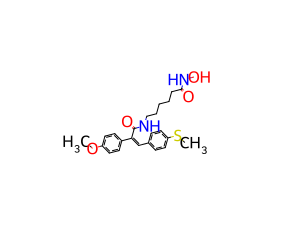 COc1ccc(C(=Cc2ccc(SC)cc2)C(=O)NCCCCCC(=O)NO)cc1